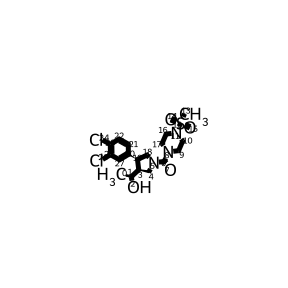 C[C@H](O)[C@@H]1CN(C(=O)N2CCN(S(C)(=O)=O)CC2)C[C@H]1c1ccc(Cl)c(Cl)c1